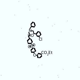 CCOC(=O)c1cccc(Oc2ccc(S(=O)(=O)c3ccc(CCCN(Cc4ccccc4)C[C@@H](O)c4cccc(Cl)c4)cc3)cc2)c1